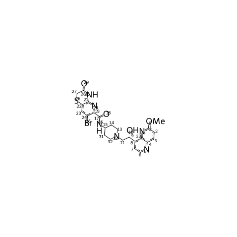 COc1ccc2nccc([C@@H](O)CN3CCC(NC(=O)c4nc5c(cc4Br)SCC(=O)N5)CC3)c2n1